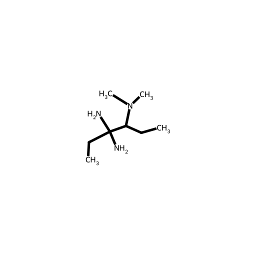 CCC(N(C)C)C(N)(N)CC